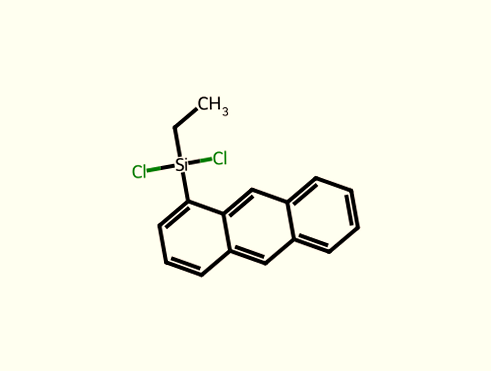 CC[Si](Cl)(Cl)c1cccc2cc3ccccc3cc12